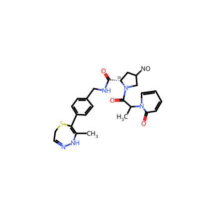 CC1=C(c2ccc(CNC(=O)[C@@H]3CC(N=O)CN3C(=O)C(C)n3ccccc3=O)cc2)SCC=NN1